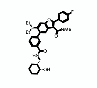 CCN(CC)c1cc2oc(-c3ccc(F)cc3)c(C(=O)NC)c2cc1-c1cccc(C(=O)NC[C@H]2CCCC[C@H]2O)c1